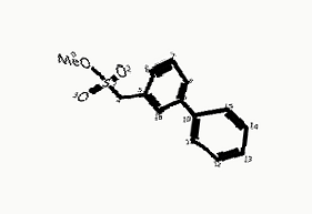 COS(=O)(=O)Cc1cccc(-c2ccccc2)c1